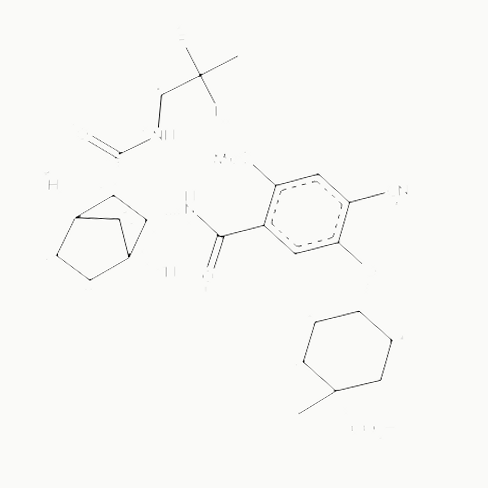 COc1cc(C#N)c(O[C@H]2CC[C@@](C)(C(=O)O)CC2)cc1C(=O)N[C@@H]1[C@H]2CC[C@H](C2)[C@@H]1C(=O)NCC(C)(F)F